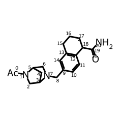 CC(=O)N1CC2CC1CN2Cc1ccc2c(c1)CC[C]C2C(N)=O